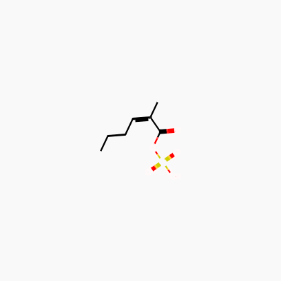 CCCC=C(C)C(=O)OS(=O)(=O)O